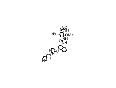 COc1c(NC(=O)Nc2ccc(Oc3ccnc(NCc4ccncc4)n3)c3ccccc23)cc(C(C)(C)C)cc1NS(C)(=O)=O